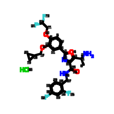 C[C@H](N)c1oc(-c2ccc(OCC(F)F)c(OCC3CC3)c2)nc1C(=O)NCc1ccc(F)cc1F.Cl